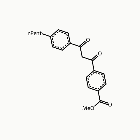 CCCCCc1ccc(C(=O)CC(=O)c2ccc(C(=O)OC)cc2)cc1